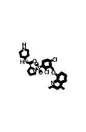 Cc1cc(C)c2cccc(OCc3c(Cl)ccc(S(=O)(=O)N4CCC[C@H]4C(=O)NC4CCNCC4)c3Cl)c2n1